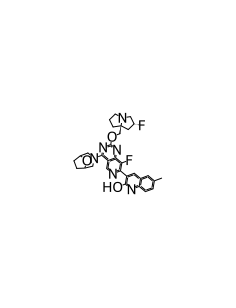 Cc1ccc2nc(O)c(-c3ncc4c(N5CC6CCC(C5)O6)nc(OC[C@@]56CCCN5C[C@H](F)C6)nc4c3F)cc2c1